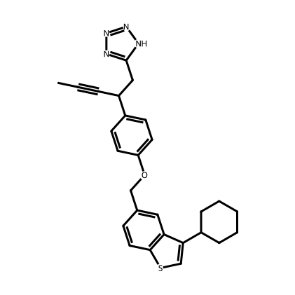 CC#CC(Cc1nnn[nH]1)c1ccc(OCc2ccc3scc(C4CCCCC4)c3c2)cc1